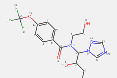 CCC(O)C(N(CCO)C(=O)c1ccc(OC(F)(F)F)cc1)n1cncn1